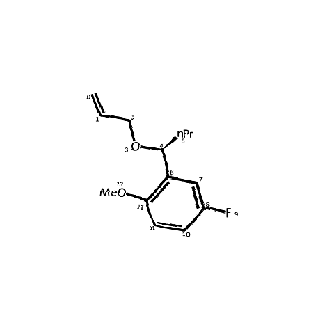 C=CCO[C@@H](CCC)c1cc(F)ccc1OC